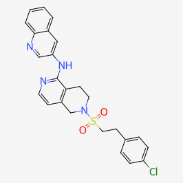 O=S(=O)(CCc1ccc(Cl)cc1)N1CCc2c(ccnc2Nc2cnc3ccccc3c2)C1